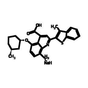 Cc1c(-c2cc(C(=O)O)c3c(O[C@H]4CCC[C@@H](C)C4)ccc(C)c3n2)sc2ccccc12.[NaH]